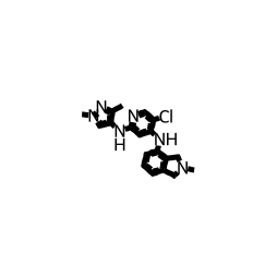 Cc1nn(C)cc1Nc1cc(Nc2cccc3c2CN(C)C3)c(Cl)cn1